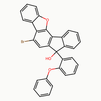 OC1(c2ccccc2Oc2ccccc2)c2ccccc2-c2c1cc(Br)c1c2oc2ccccc21